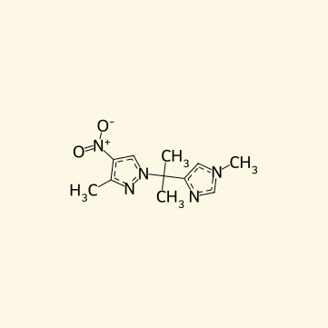 Cc1nn(C(C)(C)c2cn(C)cn2)cc1[N+](=O)[O-]